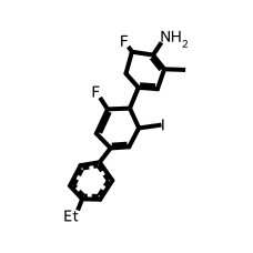 CCc1ccc(C2=CC(I)C(C3=CC(C)=C(N)C(F)C3)C(F)=C2)cc1